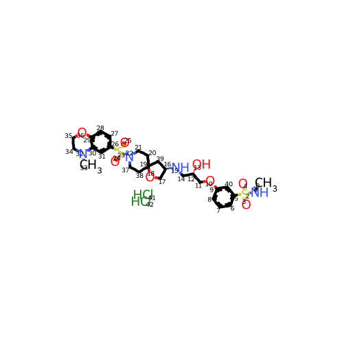 CNS(=O)(=O)c1cccc(OC[C@@H](O)CN[C@H]2COC3(CCN(S(=O)(=O)c4ccc5c(c4)N(C)CCO5)CC3)C2)c1.Cl.Cl